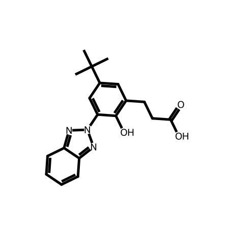 CC(C)(C)c1cc(CCC(=O)O)c(O)c(-n2nc3ccccc3n2)c1